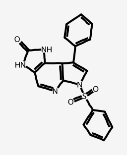 O=c1[nH]c2cnc3c(c(-c4ccccc4)cn3S(=O)(=O)c3ccccc3)c2[nH]1